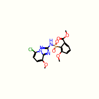 COC(=O)c1cccc(OC)c1S(=O)(=O)Nc1nc2c(OC)ccc(Cl)n2n1